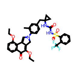 CCOC1=C2CN(c3ccc(CC4(NC(=O)NS(=O)(=O)c5ccccc5C(F)(F)F)CC4)cc3C)C=C2c2c(OCC)cccc2C1=O